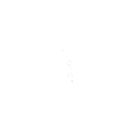 CC(C)(C)OC(=O)NC/C(=C\F)COc1ccc2c(c1)CCN(c1ccc(C#N)cc1)C2=O